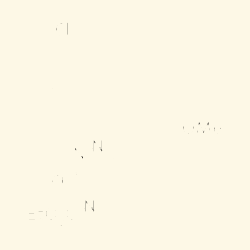 CCOC(=O)N(CCCc1ccccc1)c1cc(-c2ccc(OC)cc2)nn(CC=Cc2ccc(Cl)cc2)c1=O